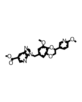 COC(=O)c1cnc2c(c1)ncn2Cc1cc(OC)c2c(c1)OCC(c1ccc(OC)nc1)O2